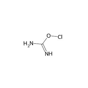 N=C(N)OCl